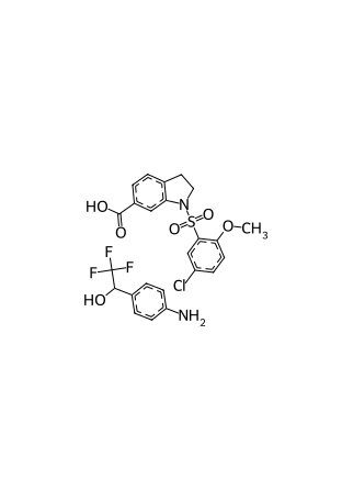 COc1ccc(Cl)cc1S(=O)(=O)N1CCc2ccc(C(=O)O)cc21.Nc1ccc(C(O)C(F)(F)F)cc1